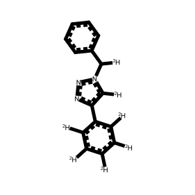 [2H]c1c([2H])c([2H])c(-c2nnn(C([2H])c3ccccc3)c2[2H])c([2H])c1[2H]